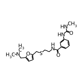 CNC(=O)Nc1cccc(C(=O)NCCSCc2ccc(CN(C)C)o2)c1